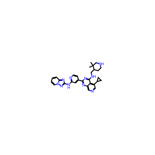 CC1(C)CNCCC1CNc1nc(-c2ccnc(Nc3nc4ccccn4n3)c2)nc2cncc(C3CC3)c12